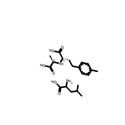 CC(C)CC(N)C(=O)O.Cc1ccc(CC[C@H](N[C@H](C)C(=O)O)C(=O)O)cc1